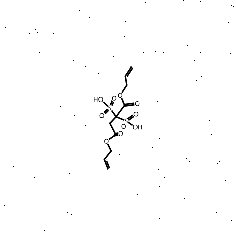 C=CCOC(=O)CC(C(=O)OCC=C)(S(=O)(=O)O)S(=O)(=O)O